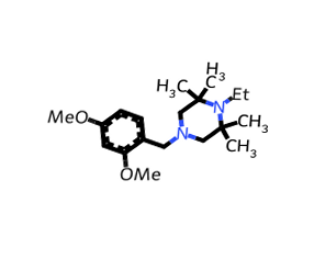 CCN1C(C)(C)CN(Cc2ccc(OC)cc2OC)CC1(C)C